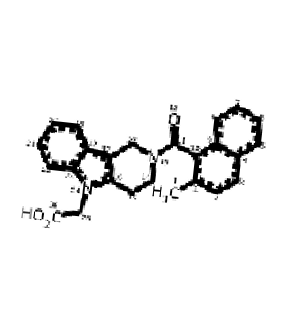 Cc1ccc2ccccc2c1C(=O)N1CCc2c(c3ccccc3n2CC(=O)O)C1